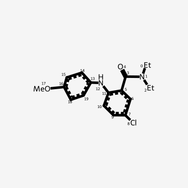 CCN(CC)C(=O)c1cc(Cl)ccc1Nc1ccc(OC)cc1